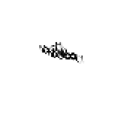 CN1CCC(N2CCC[C@H](NS(=O)(=O)c3ccc4cc(Cl)ccc4c3)C2=O)CC1